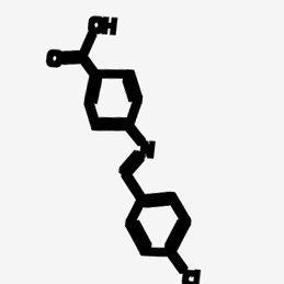 O=C(O)c1ccc(N=Cc2ccc(Cl)cc2)cc1